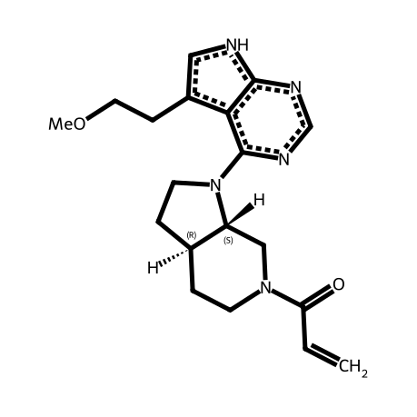 C=CC(=O)N1CC[C@H]2CCN(c3ncnc4[nH]cc(CCOC)c34)[C@@H]2C1